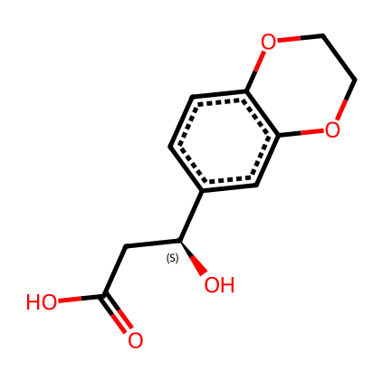 O=C(O)C[C@H](O)c1ccc2c(c1)OCCO2